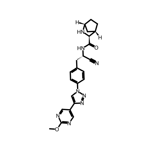 COc1ncc(-c2cn(-c3ccc(C[C@@H](C#N)NC(=O)[C@H]4N[C@@H]5CC[C@H]4C5)cc3)nn2)cn1